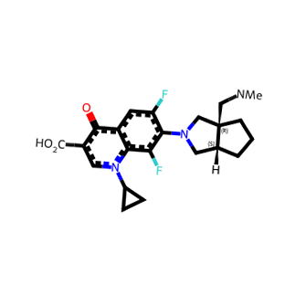 CNC[C@@]12CCC[C@@H]1CN(c1c(F)cc3c(=O)c(C(=O)O)cn(C4CC4)c3c1F)C2